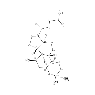 C[C@H](CCC(=O)O)[C@H]1CC[C@H]2[C@@H]3[C@H](O)CC4C[C@](N)(O)CC[C@]4(C)[C@H]3CC[C@]12C